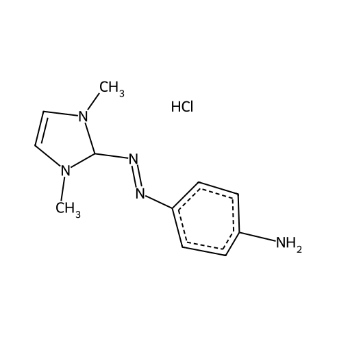 CN1C=CN(C)C1/N=N/c1ccc(N)cc1.Cl